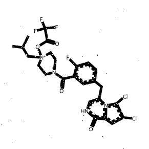 CC(C)C[N+]1(OC(=O)C(F)(F)F)CCN(C(=O)c2cc(Cc3c[nH]c(=O)c4cc(Cl)c(Cl)n34)ccc2F)CC1